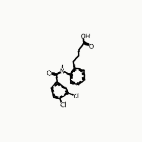 CN(C(=O)c1ccc(Cl)c(Cl)c1)c1ccccc1CCCC(=O)O